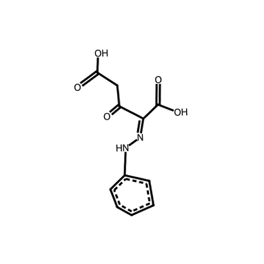 O=C(O)CC(=O)/C(=N\Nc1ccccc1)C(=O)O